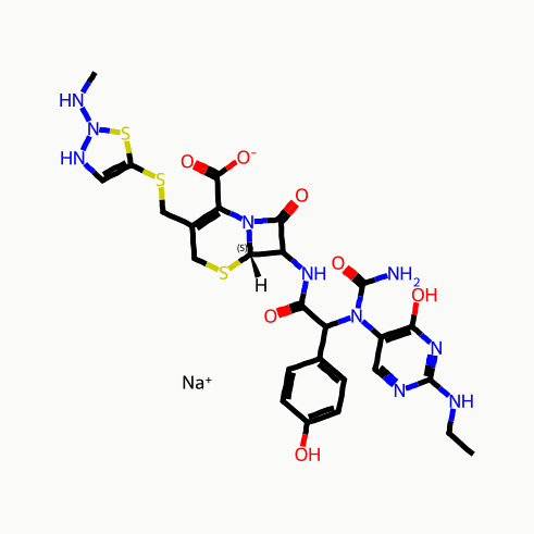 CCNc1ncc(N(C(N)=O)C(C(=O)NC2C(=O)N3C(C(=O)[O-])=C(CSC4=CNN(NC)S4)CS[C@@H]23)c2ccc(O)cc2)c(O)n1.[Na+]